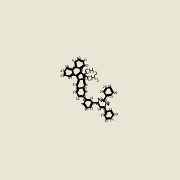 CC1(C)c2cc3cc(-c4cccc(-c5cc(-c6ccccc6)nc(-c6ccccc6)n5)c4)ccc3cc2-c2c1c1ccccc1c1ccccc21